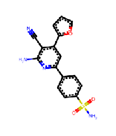 N#Cc1c(-c2ccco2)cc(-c2ccc(S(N)(=O)=O)cc2)nc1N